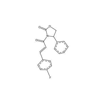 O=C(C=Cc1ccc(F)cc1)N1C(=O)OCC1c1ccccc1